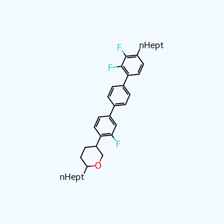 CCCCCCCc1ccc(-c2ccc(-c3ccc(C4CCC(CCCCCCC)OC4)c(F)c3)cc2)c(F)c1F